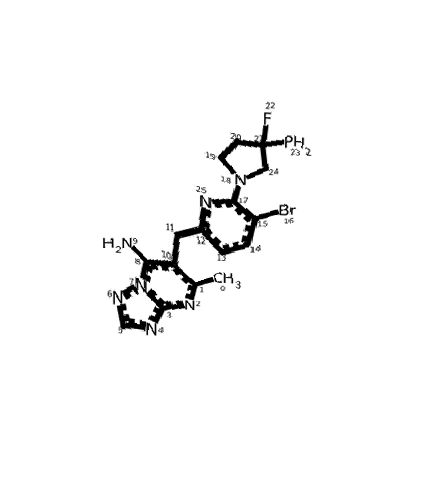 Cc1nc2ncnn2c(N)c1Cc1ccc(Br)c(N2CCC(F)(P)C2)n1